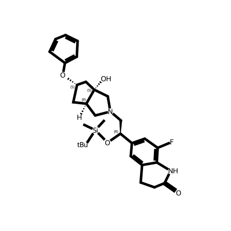 CC(C)(C)[Si](C)(C)O[C@@H](CN1C[C@H]2C[C@H](Oc3ccccc3)C[C@@]2(O)C1)c1cc(F)c2c(c1)CCC(=O)N2